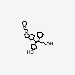 OCCCC(=C(c1ccc(O)cc1)c1ccc2c(c1)CCN2CCN1CCCC1)c1ccccc1